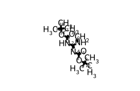 [CH2]N/C(=N\C(=O)OC(C)(C)C)NC(=O)OC(C)(C)C